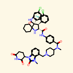 CN(C(=O)c1ccc(NC(=O)[C@@H]2NC3(CCCCC3)[C@@]3(C(=O)Nc4cc(Cl)ccc43)[C@H]2c2cccc(Cl)c2F)cc1)C1CCN(Cc2cccc3c2n(C)c(=O)n3C2CCC(=O)NC2=O)CC1